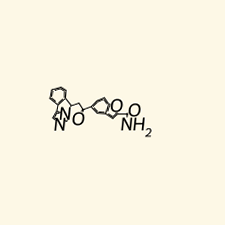 NC(=O)c1cc2cc(C(=O)CC3c4ccccc4-c4cncn43)ccc2o1